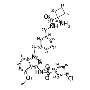 COc1cccc2c1c(NS(=O)(=O)c1ccc(Cl)s1)nn2Cc1cccc(CNC(=O)C2(N)CCC2)c1